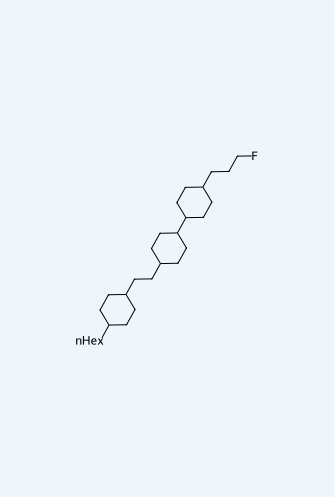 CCCCCCC1CCC(CCC2CCC(C3CCC(CCCF)CC3)CC2)CC1